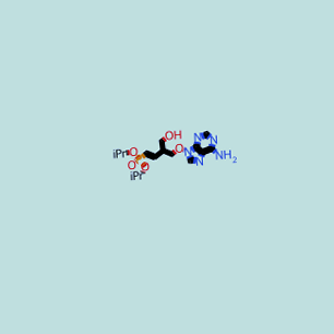 CC(C)OP(=O)(/C=C/C(CO)COn1cnc2c(N)ncnc21)OC(C)C